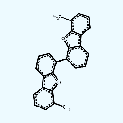 Cc1cccc2c1oc1c(-c3cccc4c3oc3c(C)cccc34)cccc12